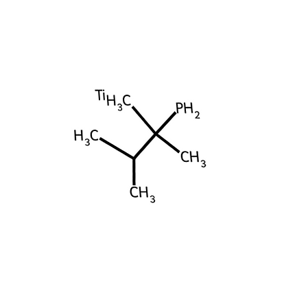 CC(C)C(C)(C)P.[Ti]